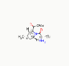 COC(=O)[C@@H]1[C@@H]2C[C@@H](C[C@@H]2C)N1C(=O)[C@@H](N)C(C)(C)C